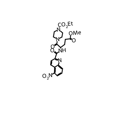 CCOC(=O)N1CCN(C(=O)C(CCC(=O)OC)NC(=O)c2ccc3c([N+](=O)[O-])cccc3n2)CC1